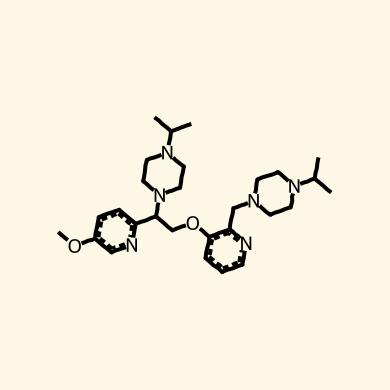 COc1ccc(C(COc2cccnc2CN2CCN(C(C)C)CC2)N2CCN(C(C)C)CC2)nc1